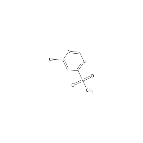 CS(=O)(=O)c1cc(Cl)ncn1